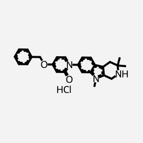 Cl.Cn1c2c(c3ccc(-n4ccc(OCc5ccccc5)cc4=O)cc31)CC(C)(C)NC2